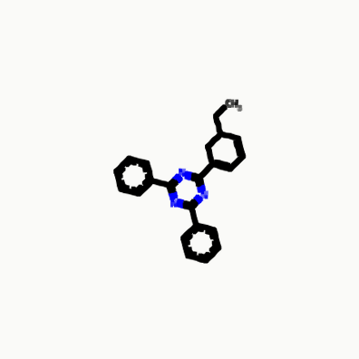 CCC1C=CC=C(c2nc(-c3ccccc3)nc(-c3ccccc3)n2)C1